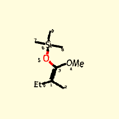 CCC(C)=C(OC)O[Si](C)(C)C